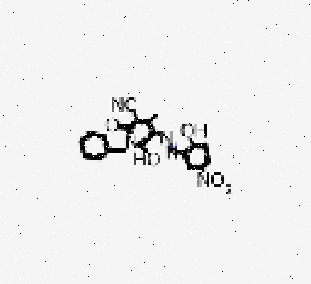 Cc1c(/N=N/c2cc([N+](=O)[O-])ccc2O)c(O)n(Cc2ccccc2)c(=O)c1C#N